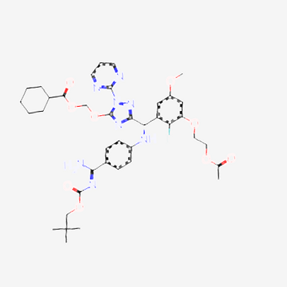 COc1cc(OCCOC(C)=O)c(F)c([C@@H](Nc2ccc(C(N)=NC(=O)OCC(C)(C)C)cc2)c2nc(OCOC(=O)C3CCCCC3)n(-c3ncccn3)n2)c1